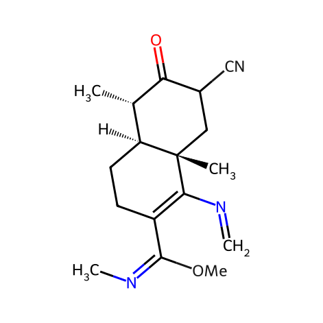 C=NC1=C(/C(=N\C)OC)CC[C@H]2[C@H](C)C(=O)C(C#N)C[C@]12C